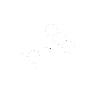 CN1c2ccccc2C(C(=O)Oc2cc(F)cc(F)c2)c2ccccc21